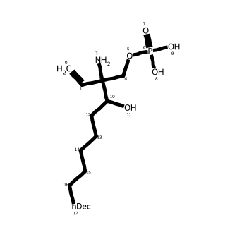 C=CC(N)(COP(=O)(O)O)C(O)CCCCCCCCCCCCCCC